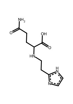 NC(=O)CCC(NCCc1ncc[nH]1)C(=O)O